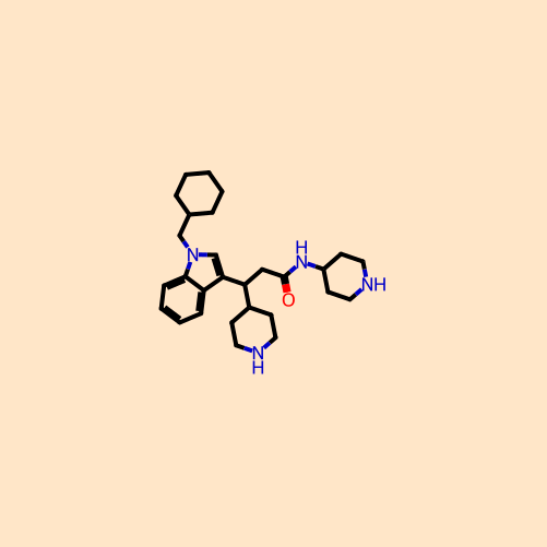 O=C(CC(c1cn(CC2CCCCC2)c2ccccc12)C1CCNCC1)NC1CCNCC1